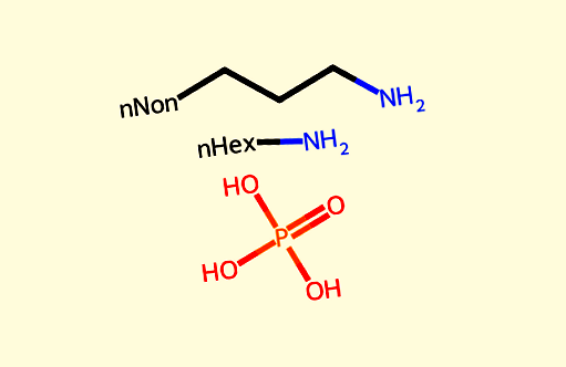 CCCCCCCCCCCCN.CCCCCCN.O=P(O)(O)O